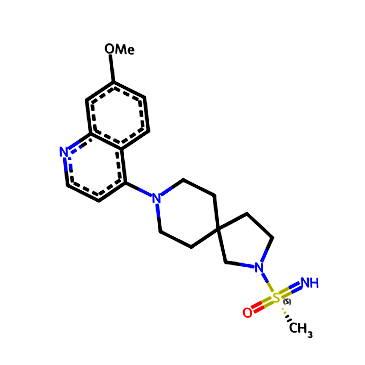 COc1ccc2c(N3CCC4(CC3)CCN([S@@](C)(=N)=O)C4)ccnc2c1